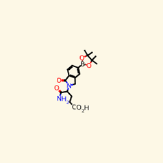 CC1(C)OB(c2ccc3c(c2)CN(C(CCC(=O)O)C(N)=O)C3=O)OC1(C)C